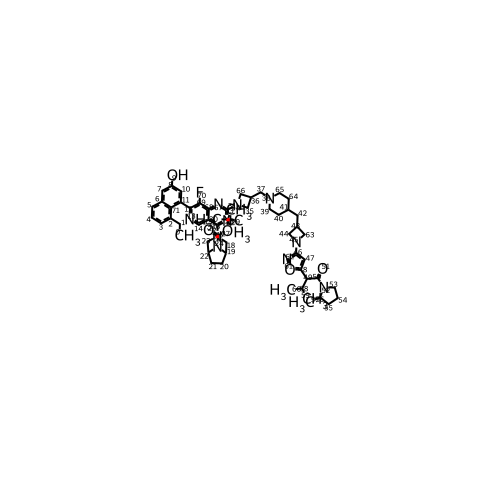 CCc1cccc2cc(O)cc(-c3ncc4c(N5CC6CCC(C5)N6C(=O)OC(C)(C)C)nc(N5CC(CN6CCC(CC7CN(c8cc(C(C(=O)N9CCCC9C)C(C)C)on8)C7)CC6)C5)nc4c3F)c12